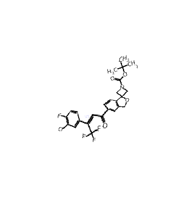 CC(C)(C)OC(=O)N1CC2(C1)OCc1cc(C(=O)/C=C(/c3ccc(F)c(Cl)c3)C(F)(F)F)ccc12